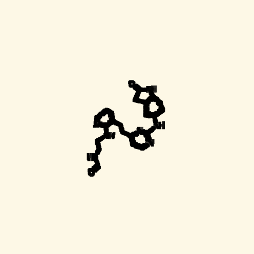 O=CNCCNc1ncccc1CCc1ccnc(Nc2ccc3c(c2)CC(=O)N3)n1